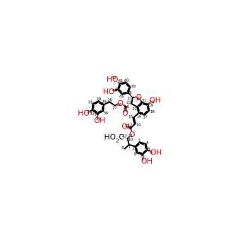 CC(c1ccc(O)c(O)c1)[C@@H](OC(=O)/C=C/c1ccc(O)c2c1[C@H](C(=O)OCCc1ccc(O)c(O)c1)[C@@H](c1ccc(O)c(O)c1)O2)C(=O)O